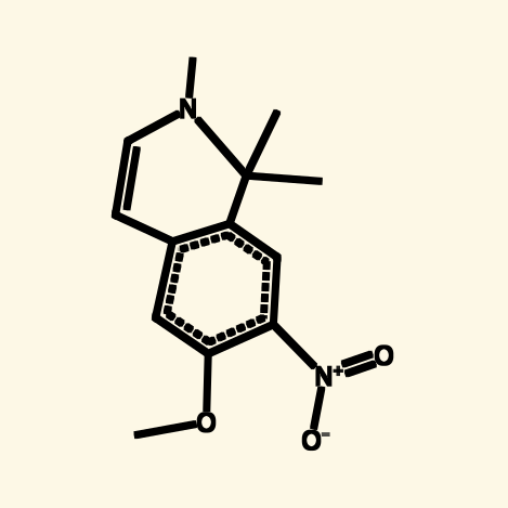 COc1cc2c(cc1[N+](=O)[O-])C(C)(C)N(C)C=C2